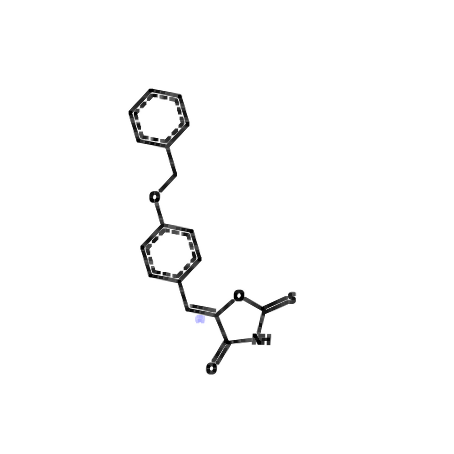 O=C1NC(=S)O/C1=C\c1ccc(OCc2ccccc2)cc1